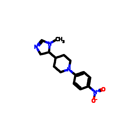 CN1C=NCC1C1CCN(c2ccc([N+](=O)[O-])cc2)CC1